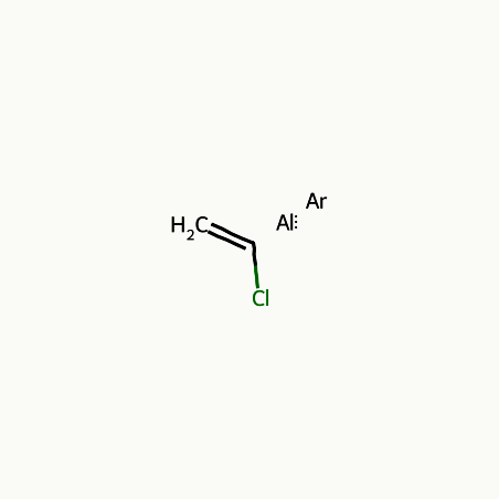 C=CCl.[Al].[Ar]